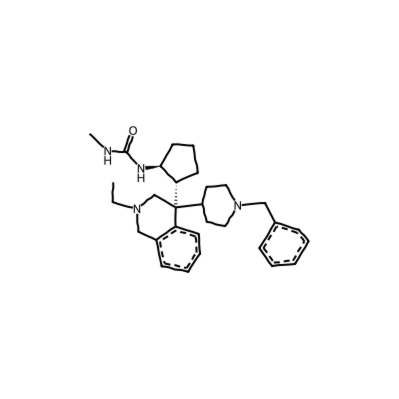 CCN1Cc2ccccc2C(C2CCN(Cc3ccccc3)CC2)([C@H]2CCC[C@@H]2NC(=O)NC)C1